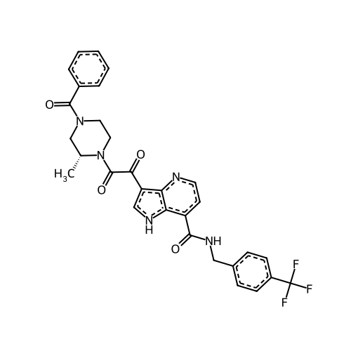 C[C@@H]1CN(C(=O)c2ccccc2)CCN1C(=O)C(=O)c1c[nH]c2c(C(=O)NCc3ccc(C(F)(F)F)cc3)ccnc12